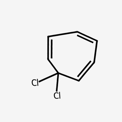 ClC1(Cl)C=CC=CC=C1